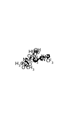 CC(C(=O)N(COP(=O)(O)O)c1cccc(-c2cnc(N3CCCC3C(F)(F)F)nc2)n1)n1cnc2c1c(=O)n(C)c(=O)n2C